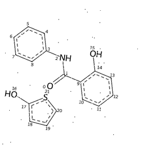 O=C(Nc1ccccc1)c1ccccc1O.Oc1cccs1